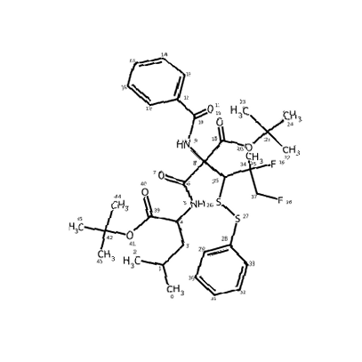 CC(C)CC(NC(=O)C(NC(=O)c1ccccc1)(C(=O)OC(C)(C)C)C(SSc1ccccc1)C(C)(F)CF)C(=O)OC(C)(C)C